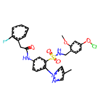 COc1cc(OCl)ccc1CNS(=O)(=O)c1cc(NC(=O)Cc2ccccc2F)ccc1-n1cc(C)cn1